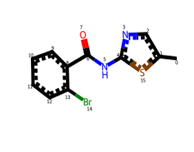 Cc1cnc(NC(=O)c2ccccc2Br)s1